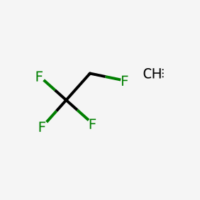 FCC(F)(F)F.[CH]